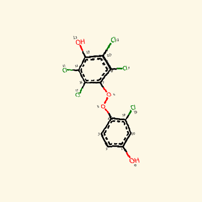 Oc1ccc(OOc2c(Cl)c(Cl)c(O)c(Cl)c2Cl)c(Cl)c1